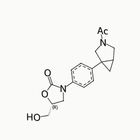 CC(=O)N1CC2CC2(c2ccc(N3C[C@H](CO)OC3=O)cc2)C1